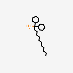 CCCCCCCCCCCC(P)(C1CCCCC1)C1CCCCC1